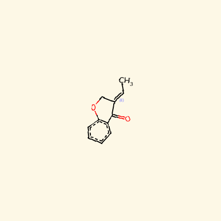 C/C=C1\COc2ccccc2C1=O